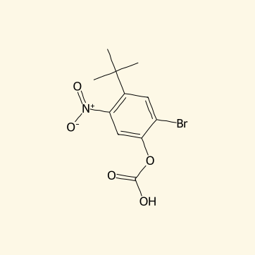 CC(C)(C)c1cc(Br)c(OC(=O)O)cc1[N+](=O)[O-]